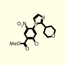 COC(=O)c1cc([N+](=O)[O-])c(-n2ccnc2C2CCOCC2)cc1Cl